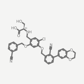 N#Cc1cccc(COc2cc(OCc3cccc(-c4ccc5c(c4)OCCO5)c3C#N)c(Cl)cc2CN[C@H](CO)C(=O)O)c1